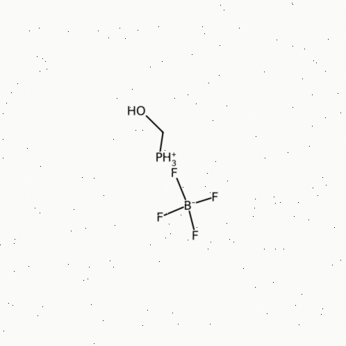 F[B-](F)(F)F.OC[PH3+]